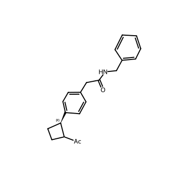 CC(=O)C1CC[C@H]1c1ccc(CC(=O)NCc2ccccc2)cc1